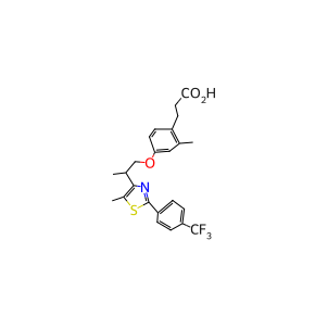 Cc1cc(OCC(C)c2nc(-c3ccc(C(F)(F)F)cc3)sc2C)ccc1CCC(=O)O